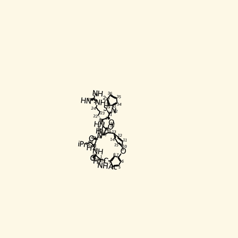 CC(=O)N[C@H]1Cc2cccc(c2)Oc2ccc(cc2)C[C@@H](C(=O)N[C@H](CCCNC(=N)N)C(=O)c2nc3ccccc3s2)NC(=O)[C@H](CC(C)C)NC1=O